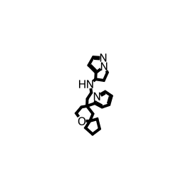 c1ccc(C2(CCNC3CCn4nccc43)CCOC3(CCCC3)C2)nc1